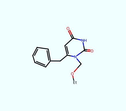 CCOCn1c(Cc2ccccc2)cc(=O)[nH]c1=O